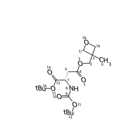 CC1(COC(=O)C[C@H](NC(=O)OC(C)(C)C)C(=O)OC(C)(C)C)COC1